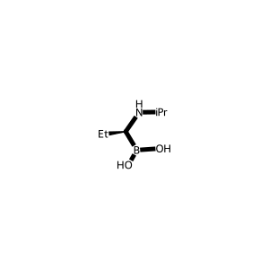 CC[C@@H](NC(C)C)B(O)O